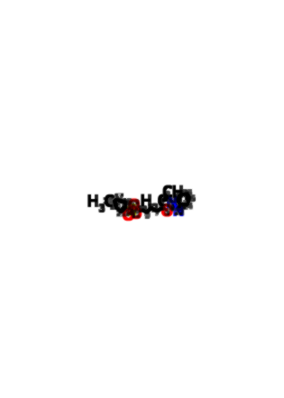 C=C(C)n1c(OCCCCCOS(=O)(=O)c2ccc(C)cc2)nc2ccccc21